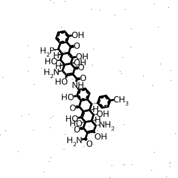 Cc1ccc([C@H]2c3ccc(NC(=O)C4=C(O)[C@@H](N)[C@@H]5[C@@H](O)[C@H]6C(=C(O)[C@]5(O)C4=O)C(=O)c4c(O)cccc4[C@@H]6P)c(O)c3C(=O)C3=C(O)[C@]4(O)C(=O)C(C(N)=O)=C(O)[C@@H](N)[C@@H]4[C@@H](O)[C@@H]32)cc1